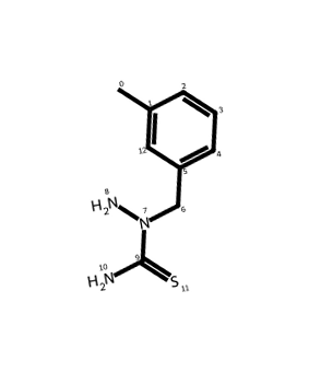 Cc1cccc(CN(N)C(N)=S)c1